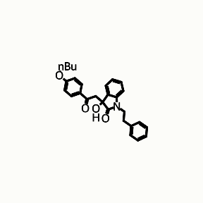 CCCCOc1ccc(C(=O)CC2(O)C(=O)N(CCc3ccccc3)c3ccccc32)cc1